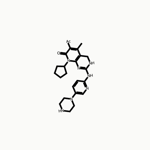 CC(=O)c1c(C)c2c(n(C3CCCC3)c1=O)N=C(Nc1ccc(N3CCNCC3)cn1)NC2